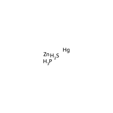 P.S.[Hg].[Zn]